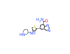 NC(=O)c1cc(-c2cc(NC3CCCNC3)cs2)cc2cncnc12